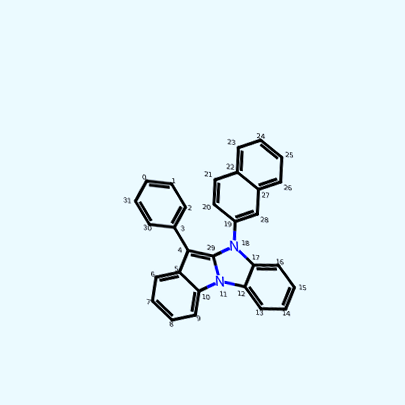 c1ccc(-c2c3ccccc3n3c4ccccc4n(-c4ccc5ccccc5c4)c23)cc1